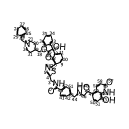 O=C(NCc1cnc(-c2cccc(C(O)(C(=O)OCC3CCN(Cc4ccccc4)CC3)c3ccccc3)c2)s1)c1ccc(CNCC(O)c2ccc(O)c3[nH]c(=O)ccc23)cc1